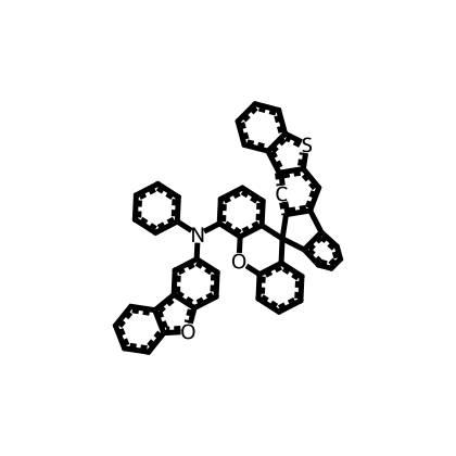 c1ccc(N(c2ccc3oc4ccccc4c3c2)c2cccc3c2Oc2ccccc2C32c3ccccc3-c3cc4sc5ccccc5c4cc32)cc1